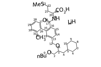 CCCCOCC(CC1CCCCC1)OCc1ccc(C(=O)NC(CCSC)C(=O)O)c(-c2ccccc2C)c1.[LiH]